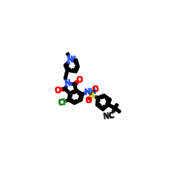 C[n+]1cccc(CN2C(=O)c3c(Cl)ccc(NS(=O)(=O)c4ccc(C(C)(C)C#N)cc4)c3C2=O)c1